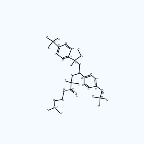 CCC(C)(CC(CC(C)(C)C(=O)OCCN(C)C)c1ccc(OC(C)(C)C)cc1)c1ccc(C(C)(C)C)cc1